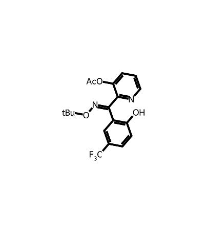 CC(=O)Oc1cccnc1C(=NOC(C)(C)C)c1cc(C(F)(F)F)ccc1O